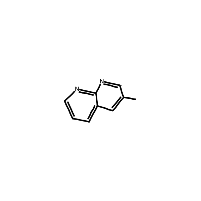 Cc1[c]nc2ncccc2c1